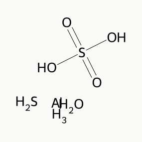 O.O=S(=O)(O)O.S.[AlH3]